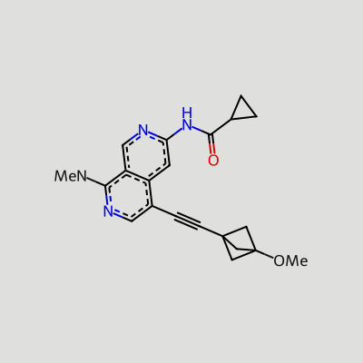 CNc1ncc(C#CC23CC(OC)(C2)C3)c2cc(NC(=O)C3CC3)ncc12